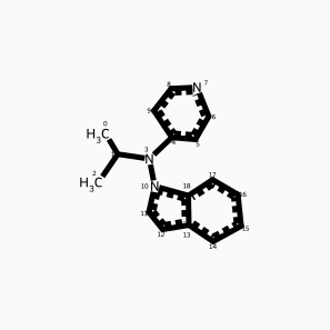 CC(C)N(c1ccncc1)n1ccc2ccccc21